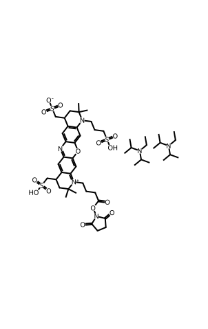 CC1(C)CC(CS(=O)(=O)[O-])c2cc3c(cc2N1CCCS(=O)(=O)O)Oc1cc2c(cc1=N3)C(CS(=O)(=O)O)CC(C)(C)[N+]=2CCCC(=O)ON1C(=O)CCC1=O.CCN(C(C)C)C(C)C.CCN(C(C)C)C(C)C